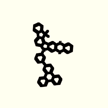 CC1(C)c2ccccc2-c2ccc3c(c21)c1cc2c(cc1n3-c1cccc(-c3ccc4c5ccccc5c5ccccc5c4c3)c1)Sc1ccccc1S2